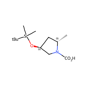 C[C@H]1C[C@H](O[Si](C)(C)C(C)(C)C)CN1C(=O)O